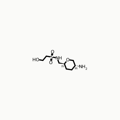 N[C@@H]1CC[C@@H](CNS(=O)(=O)CCO)OC1